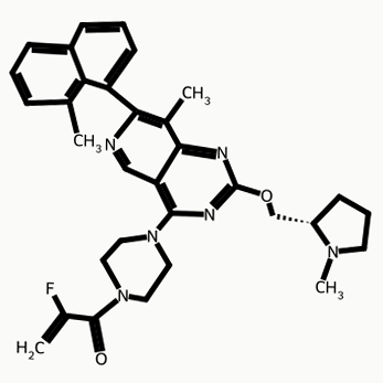 C=C(F)C(=O)N1CCN(c2nc(OC[C@@H]3CCCN3C)nc3c(C)c(-c4cccc5cccc(C)c45)ncc23)CC1